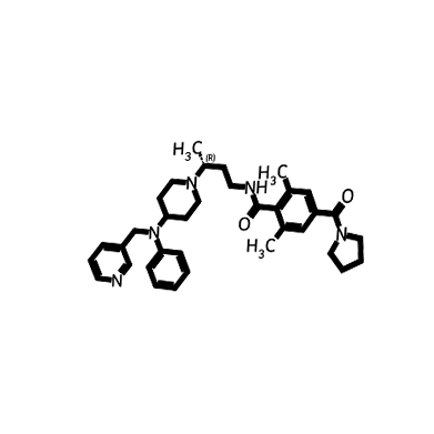 Cc1cc(C(=O)N2CCCC2)cc(C)c1C(=O)NCC[C@@H](C)N1CCC(N(Cc2cccnc2)c2ccccc2)CC1